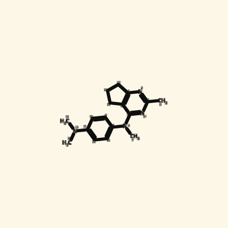 Cc1nc2c(c(N(C)c3ccc(N(C)C)cc3)n1)CCC2